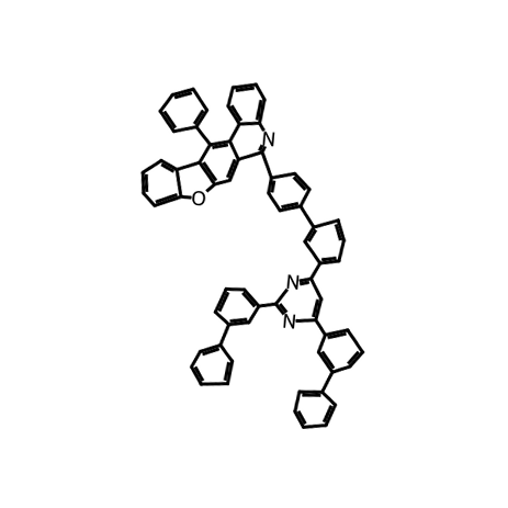 c1ccc(-c2cccc(-c3cc(-c4cccc(-c5ccc(-c6nc7ccccc7c7c(-c8ccccc8)c8c(cc67)oc6ccccc68)cc5)c4)nc(-c4cccc(-c5ccccc5)c4)n3)c2)cc1